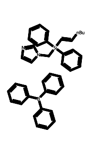 CCCCC=C[Si](Cn1ccnc1)(c1ccccc1)c1ccccc1.c1ccc(B(c2ccccc2)c2ccccc2)cc1